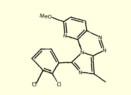 COc1ccc2nnc3c(C)nc(-c4cccc(Cl)c4Cl)n3c2n1